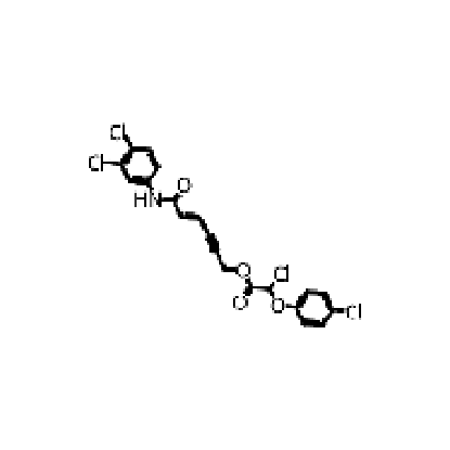 O=C(C=CC#CCOC(=O)C(Cl)Oc1ccc(Cl)cc1)Nc1ccc(Cl)c(Cl)c1